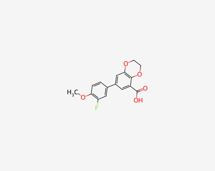 COc1ccc(-c2cc3c(c(C(=O)O)c2)OCCO3)cc1F